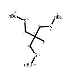 CCCCSCC(C)(CSCCCC)CSCCCC